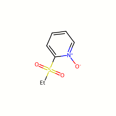 CCS(=O)(=O)c1cccc[n+]1[O-]